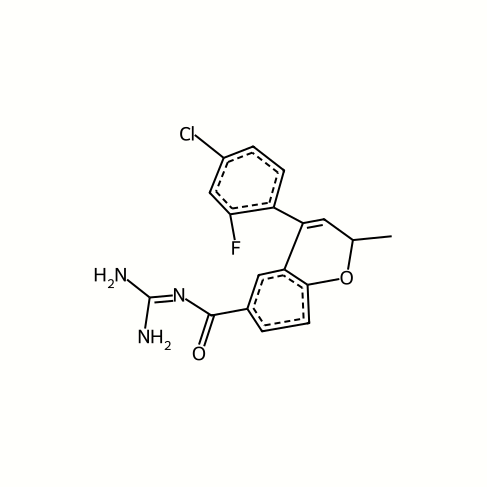 CC1C=C(c2ccc(Cl)cc2F)c2cc(C(=O)N=C(N)N)ccc2O1